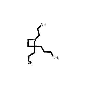 NCCCC1(CCO)CCN1CCO